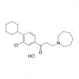 Cl.O=C(CCN1CCCCCC1)c1ccc(C2CCCCC2)c(Cl)c1